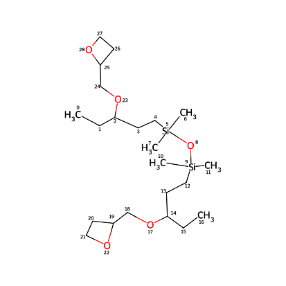 CCC(CC[Si](C)(C)O[Si](C)(C)CCC(CC)OCC1CCO1)OCC1CCO1